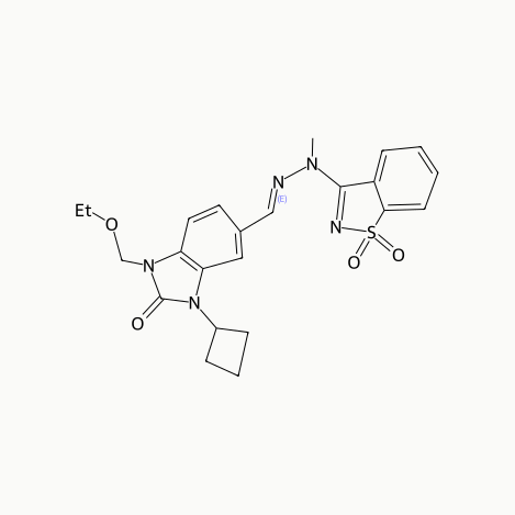 CCOCn1c(=O)n(C2CCC2)c2cc(/C=N/N(C)C3=NS(=O)(=O)c4ccccc43)ccc21